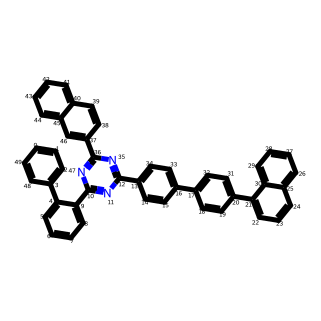 c1ccc(-c2ccccc2-c2nc(-c3ccc(-c4ccc(-c5cccc6ccccc56)cc4)cc3)nc(-c3ccc4ccccc4c3)n2)cc1